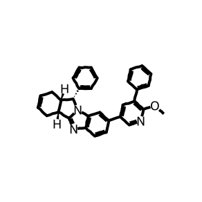 COc1ncc(-c2ccc3nc4n(c3c2)[C@@H](c2ccccc2)[C@H]2CC=CC[C@@H]42)cc1-c1ccccc1